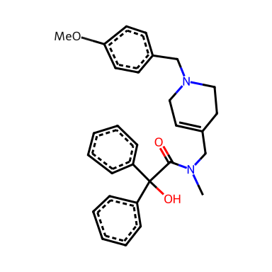 COc1ccc(CN2CC=C(CN(C)C(=O)C(O)(c3ccccc3)c3ccccc3)CC2)cc1